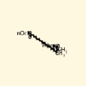 CCCCCCCCOC(=O)CCCCCCCCCCCCCCCCC(C)C(C)C(=O)OCCCCCCCC